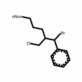 CCCCCCCCCCCCC(CCl)C(c1ccccc1)C(C)C